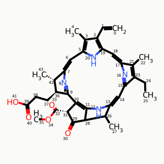 C=Cc1c(C)c2cc3nc(c4c5[nH]c(cc6nc(cc1[nH]2)C(C)=C6CC)C(C)C5C(=O)[C@@H]4C(=O)OC)[C@@H](CCC(=O)O)[C@@H]3C